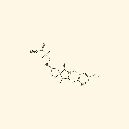 COC(=O)C(C)(C)CN[C@@H]1CC[C@@]2(C1)C(=O)N1Cc3cc(C(F)(F)F)cnc3CC1C2C